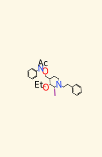 CCOC1C(CON(C(C)=O)c2ccccc2)CCN(CCc2ccccc2)C1I